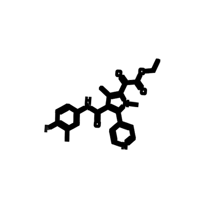 CCOC(=O)C(=O)c1c(C)c(C(=O)Nc2ccc(F)c(C)c2)c(-c2ccncc2)n1C